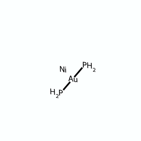 [Ni].[PH2][Au][PH2]